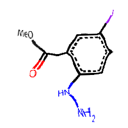 COC(=O)c1cc(I)ccc1NN